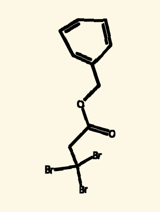 O=C(CC(Br)(Br)Br)OCc1ccccc1